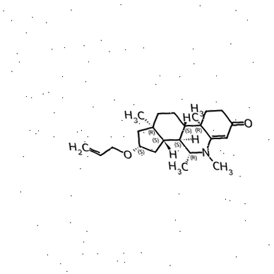 C=CCO[C@H]1C[C@H]2[C@@H]3[C@@H](C)N(C)C4=CC(=O)CC[C@]4(C)[C@H]3CC[C@]2(C)C1